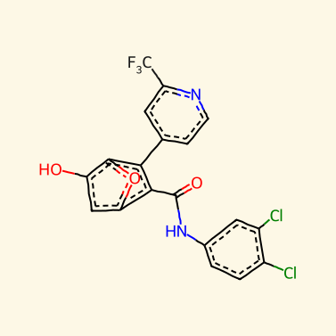 O=C(Nc1ccc(Cl)c(Cl)c1)c1c(-c2ccnc(C(F)(F)F)c2)c2oc1cc2O